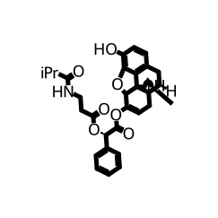 CC(C)C(=O)NCCC(=O)O[C@H](C(=O)OC1=CC[C@@]2(O)[C@H]3Cc4ccc(O)c5c4C2(CCN3C)C1O5)c1ccccc1